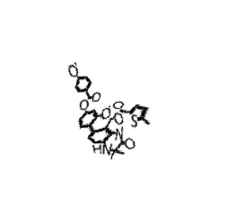 COc1ccc(C(=O)Oc2ccc(-c3ccc4c(c3COC(=O)c3ccc(C)s3)N(C)C(=O)C(C)(C)N4)c(OC)c2)cc1